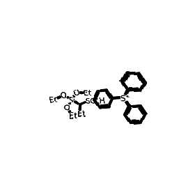 CCO[Si](OCC)(OCC)C(CC)S(=O)(=O)O.c1ccc([S+](c2ccccc2)c2ccccc2)cc1